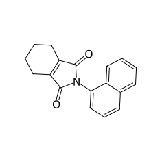 O=C1C2=C(CCCC2)C(=O)N1c1cccc2ccccc12